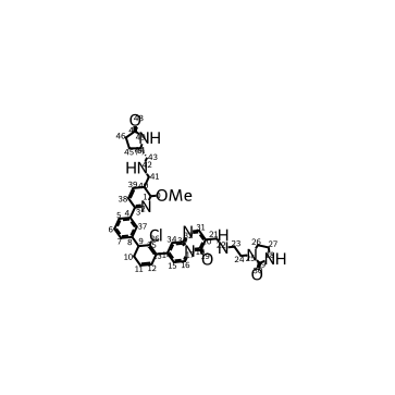 COC1N=C(c2cccc(C3CC=CC(c4ccn5c(=O)c(CNCCN6CCNC6=O)cnc5c4)=C3Cl)c2)C=CC1CNC[C@@H]1CCC(=O)N1